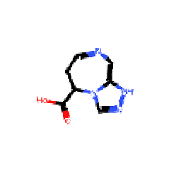 O=C(O)C1CC=NC=C2NN=CN21